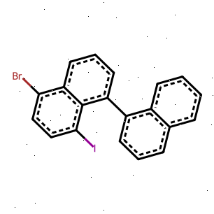 Brc1ccc(I)c2c(-c3cccc4ccccc34)cccc12